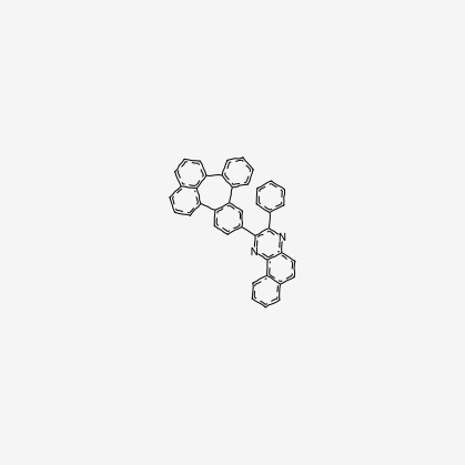 c1ccc(-c2nc3ccc4ccccc4c3nc2-c2ccc3c(c2)-c2ccccc2-c2cccc4cccc-3c24)cc1